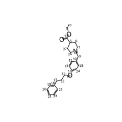 CCOC(=O)C1CCN(Cc2ccc(OCCCc3ccccc3)cc2)CC1